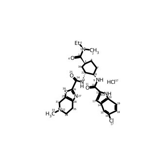 CCN(C)C(=O)[C@H]1CC[C@H](NC(=O)c2cc3cc(Cl)ccc3[nH]2)[C@H](NC(=O)c2nc3c(s2)CN(C)CC3)C1.Cl